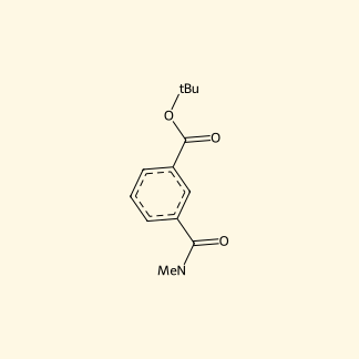 CNC(=O)c1cccc(C(=O)OC(C)(C)C)c1